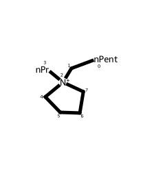 CCCCCC[N+]1(CCC)CCCC1